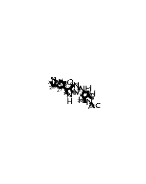 COc1nc(N[C@@H]2C[C@@H]3CN(C(C)=O)C[C@@H]3C2)nc2[nH]cc(-c3ccn4nccc4c3)c12